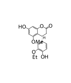 CCOc1cc([C@H]2CC(=O)Oc3cc(O)cc(OC)c32)ccc1O